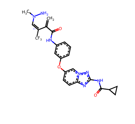 C=C(C(=O)Nc1cccc(Oc2ccc3nc(NC(=O)C4CC4)nn3c2)c1)/C(=C\N(C)N)C(F)(F)F